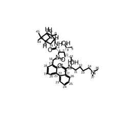 C[C@@H]1[C@@H](NC(=O)[C@@H]2[C@H]([C@H](C)O)[C@H](CO)ON2Cc2cccc(-c3ccccc3C(=O)NCCCCN(C)C)c2)C[C@H]2C[C@@H]1C2(C)C